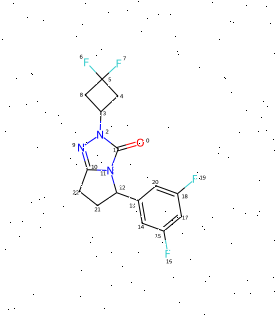 O=c1n(C2CC(F)(F)C2)nc2n1C(c1cc(F)cc(F)c1)CC2